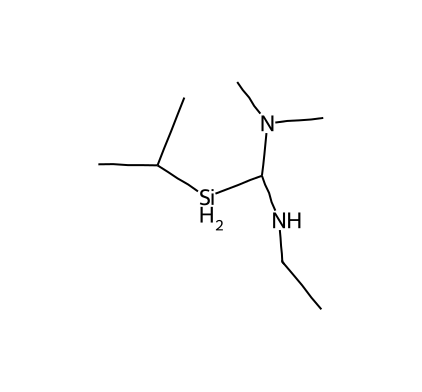 CCNC([SiH2]C(C)C)N(C)C